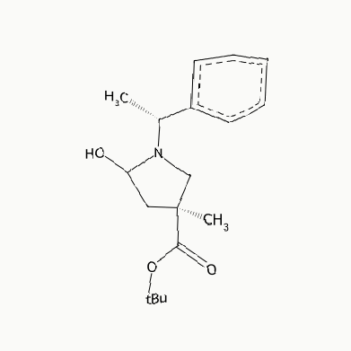 C[C@H](c1ccccc1)N1C[C@@](C)(C(=O)OC(C)(C)C)CC1O